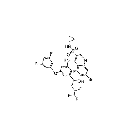 O=S(=O)(NC1CC1)c1cnc2cc(Br)cc(F)c2c1Nc1cc(Oc2cc(F)cc(F)c2)cc(C(O)CC(F)C(F)F)c1